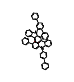 c1ccc(-c2ccc(N(c3ccc(-c4ccccc4)cc3)c3ccccc3-c3ccc4c5ccccc5n(-c5cc(-c6ccccc6)ccc5-c5ccccc5)c4c3)cc2)cc1